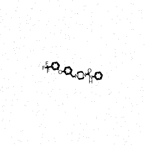 O=C(Nc1ccccc1)N1CCN(Cc2cccc(Oc3cccc(C(F)(F)F)c3)c2)CC1